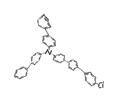 Clc1ccc(-c2ccc(-c3ccc(N(c4ccc(-c5ccccc5)cc4)c4ccc(-c5ccccc5)cc4)cc3)cc2)cc1